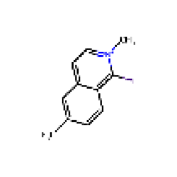 C[n+]1ccc2cc(C(F)(F)F)ccc2c1I